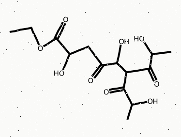 CCOC(=O)C(O)CC(=O)C(O)C(C(=O)C(C)O)C(=O)C(C)O